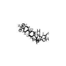 CC(C)C[C@@H](CO)NC(c1ccc(-c2ccc(S(C)(=O)=O)cc2)cc1)C(F)(F)F